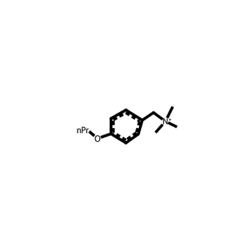 CCCOc1ccc(C[N+](C)(C)C)cc1